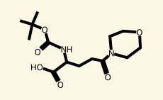 CC(C)(C)OC(=O)NC(CCC(=O)N1CCOCC1)C(=O)O